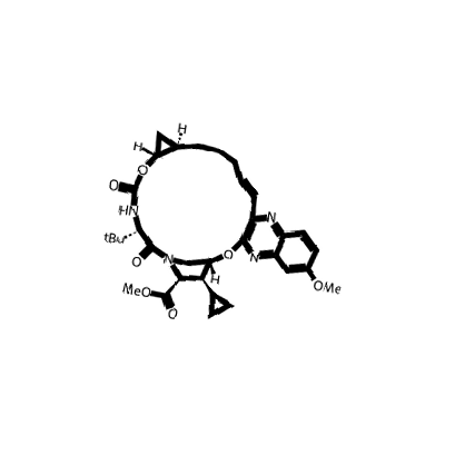 COC(=O)[C@@H]1[C@H](C2CC2)[C@@H]2CN1C(=O)[C@H](C(C)(C)C)NC(=O)O[C@@H]1C[C@H]1CCC/C=C/c1nc3ccc(OC)cc3nc1O2